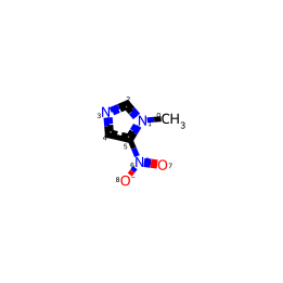 Cn1cncc1[N+](=O)[O-]